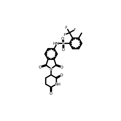 Cc1cccc(S(=O)(=O)Nc2ccc3c(c2)C(=O)N(C2CCC(=O)NC2=O)C3=O)c1C(F)(F)F